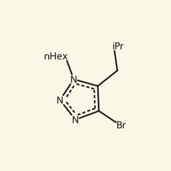 CCCCCCn1nnc(Br)c1CC(C)C